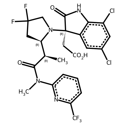 C[C@@H](C(=O)N(C)c1cccc(C(F)(F)F)n1)[C@H]1CC(F)(F)CN1[C@@]1(CC(=O)O)C(=O)Nc2c(Cl)cc(Cl)cc21